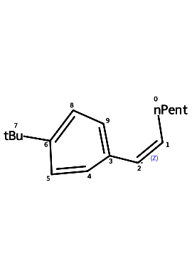 CCCCC/C=[C]\c1ccc(C(C)(C)C)cc1